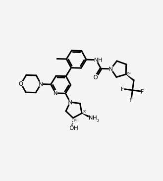 Cc1ccc(NC(=O)N2CC[C@@H](CC(F)(F)F)C2)cc1-c1cc(N2CCOCC2)nc(N2C[C@@H](N)[C@H](O)C2)c1